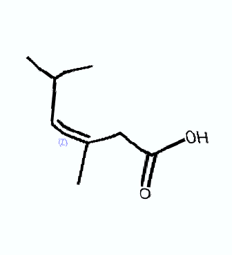 C/C(=C/C(C)C)CC(=O)O